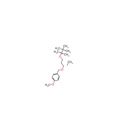 CC[C@@H](CCO[Si](C)(C)C(C)(C)C)OCc1ccc(OC)cc1